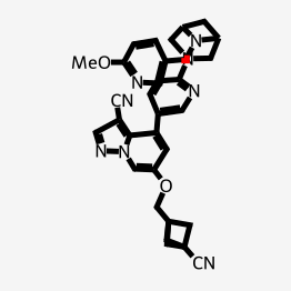 COc1ccc(CN2C3CC2CN(c2ccc(-c4cc(OCC56CC(C#N)(C5)C6)cn5ncc(C#N)c45)cn2)C3)cn1